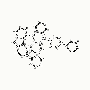 c1ccc(-c2ccc(-c3c4ccccc4c(-c4cccc5oc6ccc(-c7ccccc7)cc6c45)c4ccccc34)cc2)cc1